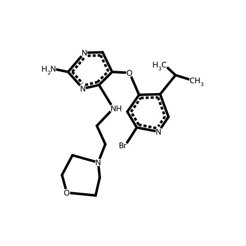 CC(C)c1cnc(Br)cc1Oc1cnc(N)nc1NCCN1CCOCC1